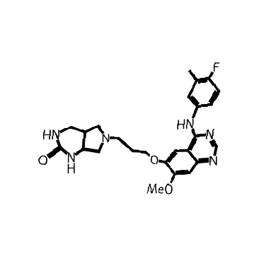 COc1cc2ncnc(Nc3ccc(F)c(C)c3)c2cc1OCCCN1CC2CNC(=O)NC2C1